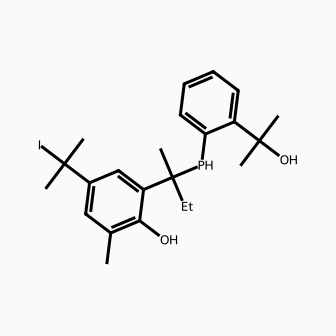 CCC(C)(Pc1ccccc1C(C)(C)O)c1cc(C(C)(C)I)cc(C)c1O